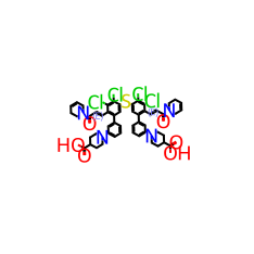 O=C(O)C1CCN(c2cccc(-c3cc(Sc4cc(-c5cccc(N6CCC(C(=O)O)CC6)c5)c(/C=C/C(=O)N5CC=CCC5)c(Cl)c4Cl)c(Cl)c(Cl)c3/C=C/C(=O)N3CC=CCC3)c2)CC1